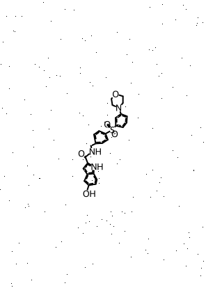 O=C(NCc1ccc(S(=O)(=O)c2cccc(N3CCOCC3)c2)cc1)c1cc2cc(O)ccc2[nH]1